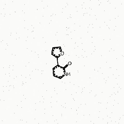 O=c1[nH]cccc1-c1ccco1